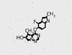 CC1=CC2=C(F)C(Oc3ncnn4cc(O)c(C)c34)=CCC2=N1